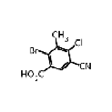 Cc1c(Cl)c(C#N)cc(C(=O)O)c1Br